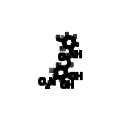 Cc1cccc(NC(=O)Cc2ccc([N+](=O)[O-])c(O)c2O)c1